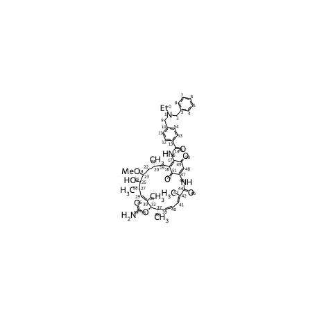 CCN(Cc1ccccc1)Cc1ccc(C(=O)NC2=C3C[C@@H](C)C[C@H](OC)[C@H](O)[C@@H](C)/C=C(\C)[C@H](OC(N)=O)[C@@H](C)/C=C\C=C(/C)C(=O)NC(=CC2=O)C3=O)cc1